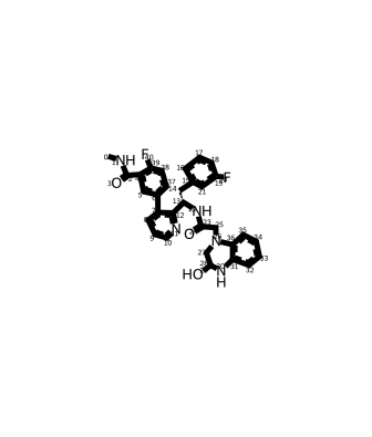 CNC(=O)c1cc(-c2cccnc2[C@H](Cc2cccc(F)c2)NC(=O)CN2CC(O)Nc3ccccc32)ccc1F